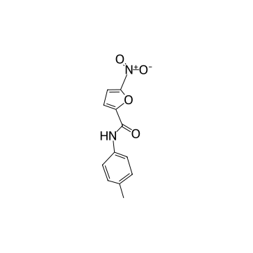 Cc1ccc(NC(=O)c2ccc([N+](=O)[O-])o2)cc1